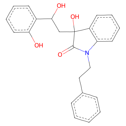 O=C1N(CCc2ccccc2)c2ccccc2C1(O)CC(O)c1ccccc1O